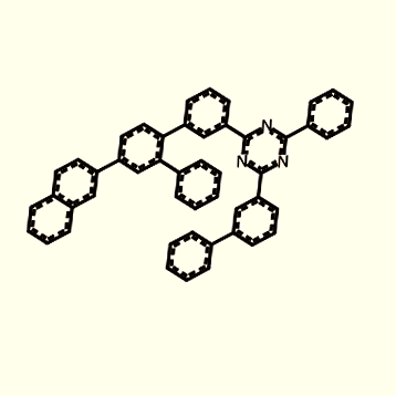 c1ccc(-c2cccc(-c3nc(-c4ccccc4)nc(-c4cccc(-c5ccc(-c6ccc7ccccc7c6)cc5-c5ccccc5)c4)n3)c2)cc1